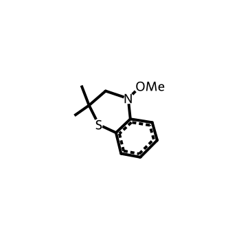 [CH2]ON1CC(C)(C)Sc2ccccc21